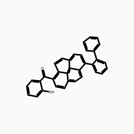 O=C(c1ccccc1O)c1ccc2ccc3c(-c4ccccc4-c4ccccc4)ccc4ccc1c2c43